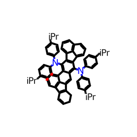 CC(C)c1ccc(N(c2ccc(C(C)C)cc2)c2c3cc4c5c(c6cccc(c3c(N(c3ccc(C(C)C)cc3)c3ccc(C(C)C)cc3)c3c7cccc8cccc(c23)c87)c64)C=CCC5)cc1